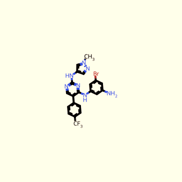 Cn1cc(Nc2ncc(-c3ccc(C(F)(F)F)cc3)c(Nc3cc(N)cc(Br)c3)n2)cn1